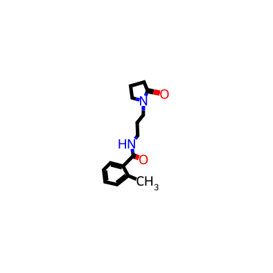 Cc1ccccc1C(=O)NCCCN1CCCC1=O